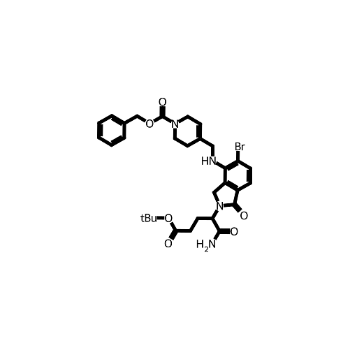 CC(C)(C)OC(=O)CCC(C(N)=O)N1Cc2c(ccc(Br)c2NCC2=CCN(C(=O)OCc3ccccc3)CC2)C1=O